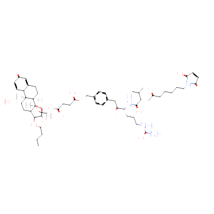 CCCC1O[C@@H]2C[C@H]3[C@@H]4CCC5=CC(=O)C=C[C@]5(C)[C@H]4[C@@H](O)C[C@]3(C)[C@]2(C(=O)COC(=O)CCC(=O)OCc2ccc(CC(=O)[C@H](CCCNC(N)=O)NC(=O)[C@@H](CC(=O)CCCCCN3C(=O)C=CC3=O)C(C)C)cc2)O1